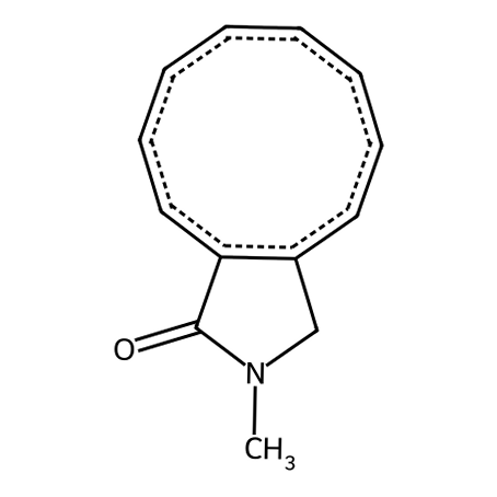 CN1Cc2ccccccccc2C1=O